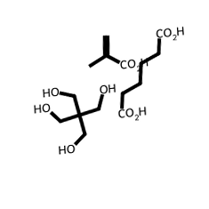 C=C(C)C(=O)O.O=C(O)CCCCC(=O)O.OCC(CO)(CO)CO